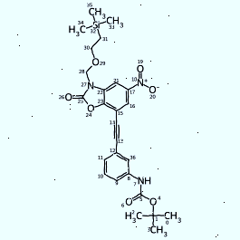 CC(C)(C)OC(=O)Nc1cccc(C#Cc2cc([N+](=O)[O-])cc3c2oc(=O)n3COCC[Si](C)(C)C)c1